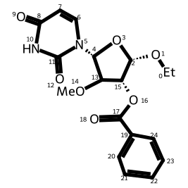 CCO[C@H]1O[C@@H](n2ccc(=O)[nH]c2=O)C(OC)[C@H]1OC(=O)c1ccccc1